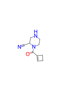 N#CC1CNCCN1C(=O)C1=CCC1